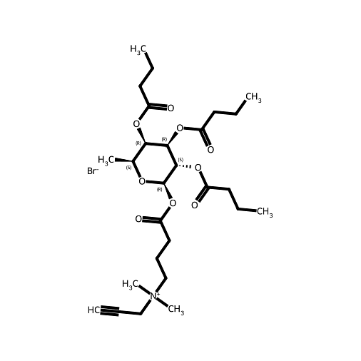 C#CC[N+](C)(C)CCCC(=O)O[C@H]1O[C@@H](C)[C@@H](OC(=O)CCC)[C@@H](OC(=O)CCC)[C@@H]1OC(=O)CCC.[Br-]